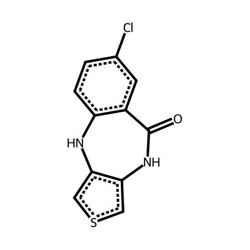 O=C1Nc2cscc2Nc2ccc(Cl)cc21